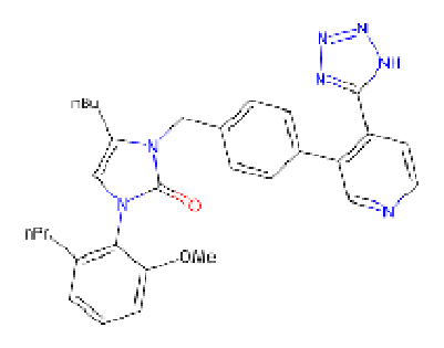 CCCCc1cn(-c2c(CCC)cccc2OC)c(=O)n1Cc1ccc(-c2cnccc2-c2nnn[nH]2)cc1